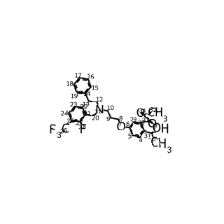 CC(O)c1ccc(OCCCN(CCc2ccccc2)Cc2cccc(C(F)(F)F)c2F)cc1S(C)(=O)=O